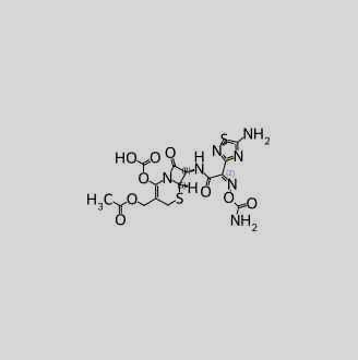 CC(=O)OCC1=C(OC(=O)O)N2C(=O)[C@@H](NC(=O)/C(=N\OC(N)=O)c3nsc(N)n3)[C@@H]2SC1